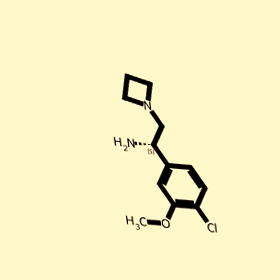 COc1cc([C@H](N)CN2CCC2)ccc1Cl